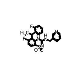 CC(c1ccccc1F)c1c(F)ccc2c1NC(NCc1cccnc1)=NS2(=O)=O